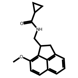 COc1ccc2cccc3c2c1C(CNC(=O)C1CC1)C3